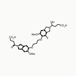 COc1cc2cn(C(=O)CCC(=O)O)cc2cc1OCCCOc1c(OC)cc2c(c1F)CN(C(O)CCC(=O)O)C2